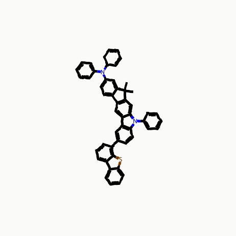 CC1(C)c2cc(N(c3ccccc3)C3C=CC=CC3)ccc2-c2cc3c4cc(-c5cccc6c5sc5ccccc56)ccc4n(-c4ccccc4)c3cc21